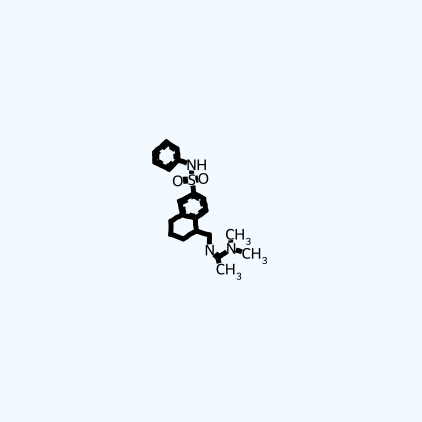 CC(=NCC1CCCc2cc(S(=O)(=O)Nc3ccccc3)ccc21)N(C)C